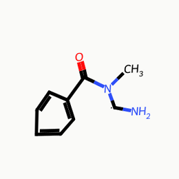 CN([CH]N)C(=O)c1ccccc1